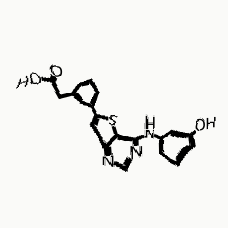 O=C(O)Cc1cccc(-c2cc3ncnc(Nc4cccc(O)c4)c3s2)c1